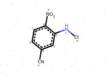 CCNc1cc(C#N)ccc1[N+](=O)[O-]